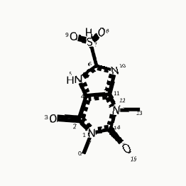 Cn1c(=O)c2[nH]c([SH](=O)=O)nc2n(C)c1=O